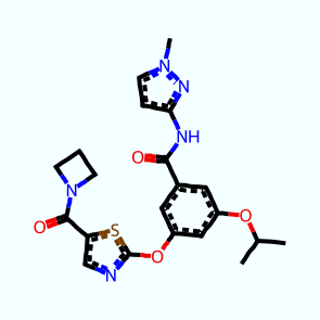 CC(C)Oc1cc(Oc2ncc(C(=O)N3CCC3)s2)cc(C(=O)Nc2ccn(C)n2)c1